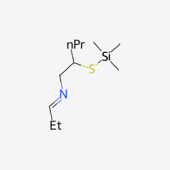 CC/C=N/CC(CCC)S[Si](C)(C)C